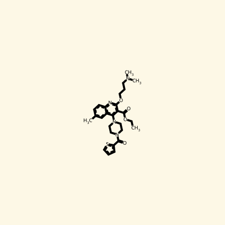 CCOC(=O)c1c(OCCCN(C)C)nc2ccc(C)cc2c1N1CCN(C(=O)c2cccs2)CC1